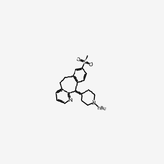 CCCCN1CCC(=C2c3ccc(S(C)(=O)=O)cc3CCc3cccnc32)CC1